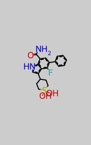 NC(=O)c1cc(-c2ccccc2)c(F)c2c(C3CCS(O)(O)CC3)c[nH]c12